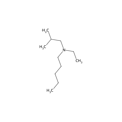 [CH2]C(C)CN(CC)CCCCC